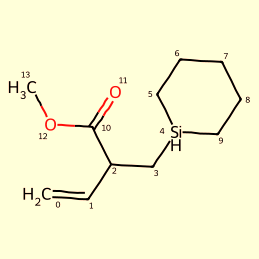 C=CC(C[SiH]1CCCCC1)C(=O)OC